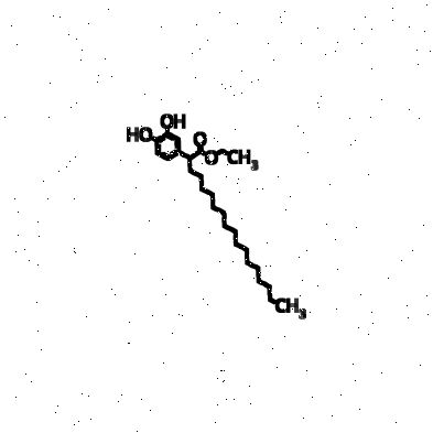 CCCCCCCCCCCCCCCCC(C(=O)OCC)c1ccc(O)c(O)c1